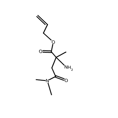 C=CCOC(=O)C(C)(N)CC(=O)N(C)C